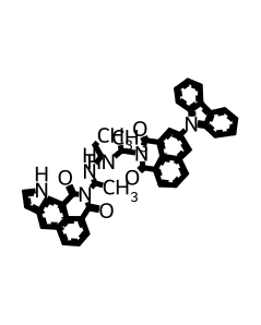 CCC(NC(C)N1C(=O)c2cccc3cc(-n4c5ccccc5c5ccccc54)cc(c23)C1=O)NC(C)N1C(=O)c2cccc3cc4cc[nH]c4c(c23)C1=O